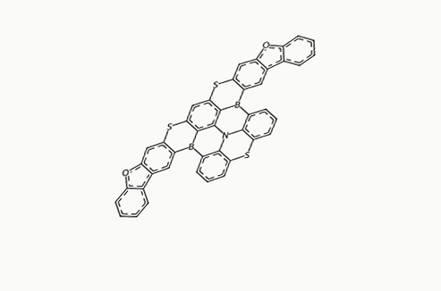 c1cc2c3c(c1)B1c4cc5c(cc4Sc4cc6c7c(c41)N3c1c(cccc1B7c1cc3c(cc1S6)oc1ccccc13)S2)oc1ccccc15